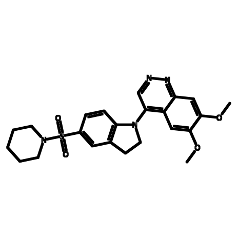 COc1cc2nncc(N3CCc4cc(S(=O)(=O)N5CCCCC5)ccc43)c2cc1OC